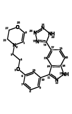 C1=CN(CCOc2cccc(-c3n[nH]c4ccc(-c5nnn[nH]5)cc34)c2)CCO1